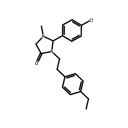 CCc1ccc(CCN2C(=O)CN(C)C2c2ccc(Cl)cc2)cc1